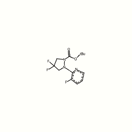 CC(C)(C)OC(=O)N1CC(F)(F)CN1c1ncccc1F